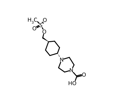 CS(=O)(=O)OC[C@H]1CC[C@H](N2CCN(C(=O)O)CC2)CC1